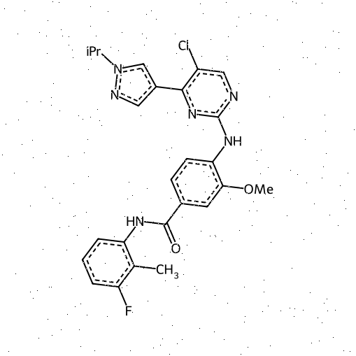 COc1cc(C(=O)Nc2cccc(F)c2C)ccc1Nc1ncc(Cl)c(-c2cnn(C(C)C)c2)n1